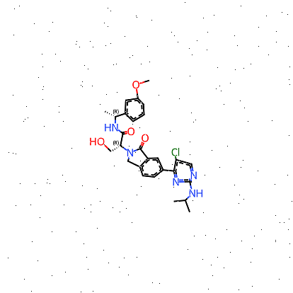 COc1cccc([C@@H](C)NC(=O)[C@@H](CO)N2Cc3ccc(-c4nc(NC(C)C)ncc4Cl)cc3C2=O)c1